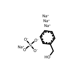 OCc1ccccc1.[Na+].[Na+].[Na+].[Na+].[O-][Si]([O-])([O-])[O-]